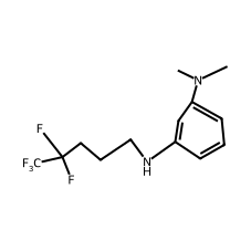 CN(C)c1cccc(NCCCC(F)(F)C(F)(F)F)c1